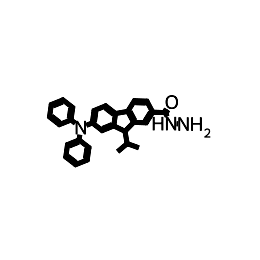 CC(C)C1c2cc(C(=O)NN)ccc2-c2ccc(N(c3ccccc3)c3ccccc3)cc21